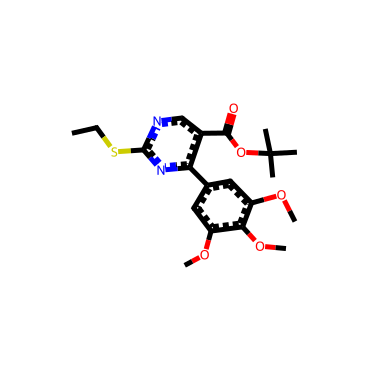 CCSc1ncc(C(=O)OC(C)(C)C)c(-c2cc(OC)c(OC)c(OC)c2)n1